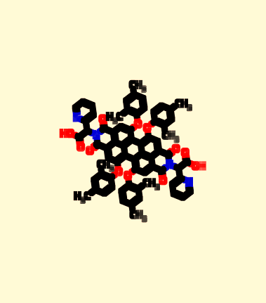 Cc1ccc(Oc2cc3c4c(cc(Oc5ccc(C)cc5C)c5c6c(Oc7ccc(C)cc7C)cc7c8c(cc(Oc9ccc(C)cc9C)c(c2c45)c86)C(=O)N(C(C(=O)O)c2ccccn2)C7=O)C(=O)N(C(C(=O)O)c2ccccn2)C3=O)c(C)c1